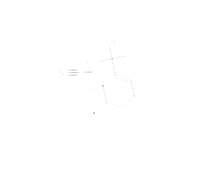 CC(C)(C)C1=CC=CC(C(C)(C)C)C1(O)OC#N